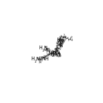 CC(C)CCC[C@@H](C)[C@H]1CC[C@H]2[C@@H]3CC=C4C[C@@H](SSCCC(=O)N(CCCCNCCC(C)(C)N)CCC(C)(C)N)CC[C@]4(C)[C@H]3CC[C@]12C.Cl.Cl.Cl